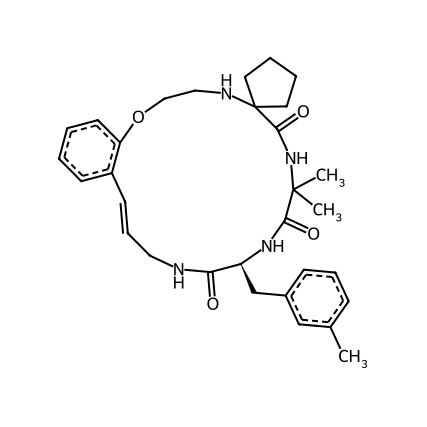 Cc1cccc(C[C@@H]2NC(=O)C(C)(C)NC(=O)C3(CCCC3)NCCOc3ccccc3/C=C/CNC2=O)c1